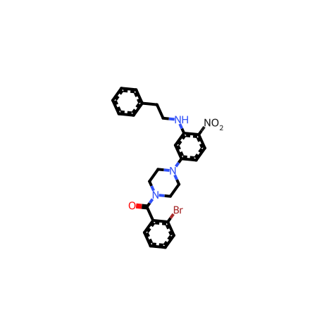 O=C(c1ccccc1Br)N1CCN(c2ccc([N+](=O)[O-])c(NCCc3ccccc3)c2)CC1